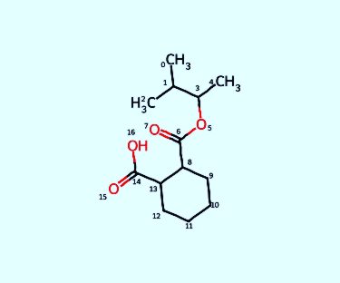 CC(C)C(C)OC(=O)C1CCCCC1C(=O)O